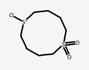 O=S1(=O)CCCC[S+]([O-])CCCC1